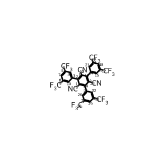 N#Cc1c(-c2cc(C(F)(F)F)cc(C(F)(F)F)c2)c(C#N)c(-c2cc(C(F)(F)F)cc(C(F)(F)F)c2)c(C#N)c1-c1cc(C(F)(F)F)cc(C(F)(F)F)c1